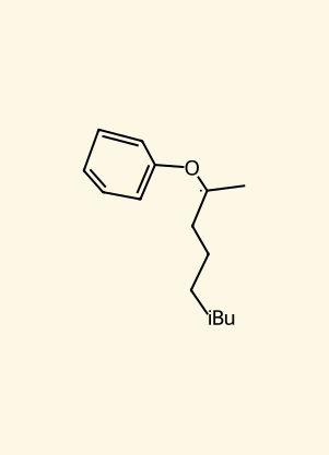 CCC(C)CCC[C](C)Oc1ccccc1